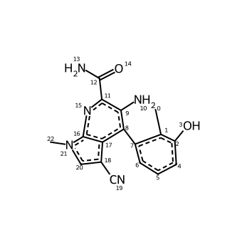 Cc1c(O)cccc1-c1c(N)c(C(N)=O)nc2c1c(C#N)cn2C